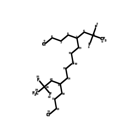 FC(F)(F)C(F)(F)CC(CCCCl)CCSCCC(CCCCl)CC(F)(F)C(F)(F)F